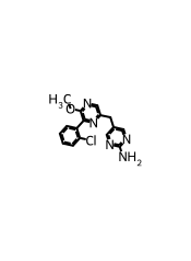 COc1ncc(Cc2cnc(N)nc2)nc1-c1ccccc1Cl